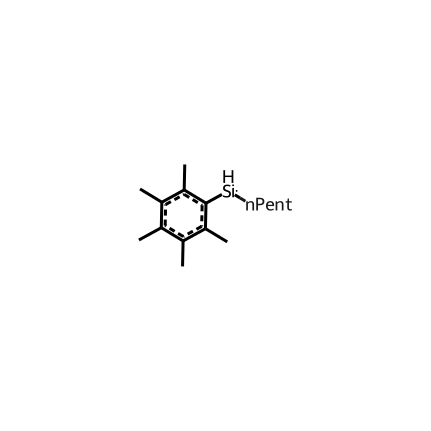 CCCCC[SiH]c1c(C)c(C)c(C)c(C)c1C